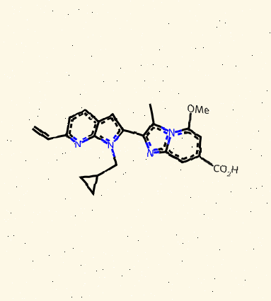 C=Cc1ccc2cc(-c3nc4cc(C(=O)O)cc(OC)n4c3C)n(CC3CC3)c2n1